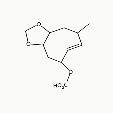 CC1/C=C/C(OC(=O)O)CC2OCOC2C1